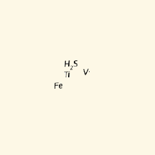 S.[Fe].[Ti].[V]